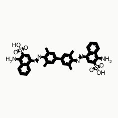 Cc1cc(-c2cc(C)c(/N=N/c3cc(S(=O)(=O)O)c(N)c4ccccc34)c(C)c2)cc(C)c1/N=N/c1cc(S(=O)(=O)O)c(N)c2ccccc12